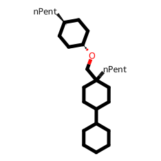 CCCCCC1(CO[C@H]2CC[C@H](CCCCC)CC2)CCC(C2CCCCC2)CC1